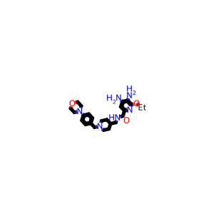 CCOc1nc(C(=O)NCC2CCN(Cc3ccc(N4CCOCC4)cc3)CC2)cc(N)c1N